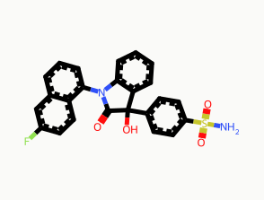 NS(=O)(=O)c1ccc(C2(O)C(=O)N(c3cccc4cc(F)ccc34)c3ccccc32)cc1